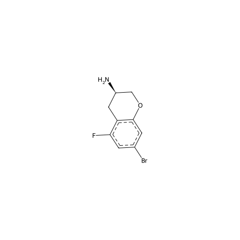 N[C@H]1COc2cc(Br)cc(F)c2C1